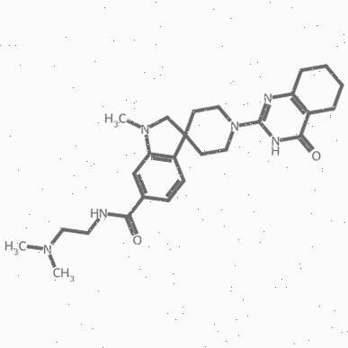 CN(C)CCNC(=O)c1ccc2c(c1)N(C)CC21CCN(c2nc3c(c(=O)[nH]2)CCCC3)CC1